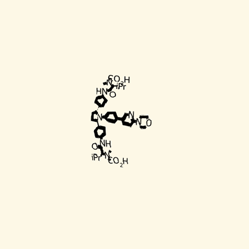 CC(C)[C@@H](C(=O)Nc1ccc([C@H]2CC[C@H](c3ccc(NC(=O)[C@H](C(C)C)N(C)C(=O)O)cc3)N2c2ccc(-c3ccc(N4CCOCC4)nc3)cc2)cc1)N(C)C(=O)O